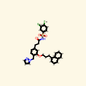 O=C(CCc1ccc(Cn2cccn2)c(OCCCc2cccc3ccccc23)c1)NS(=O)(=O)c1ccc(F)c(F)c1